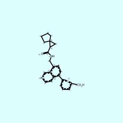 O=C(O)c1cccc(-c2ccc(CNC(=O)C3CC34CCCC4)c3cnccc23)c1